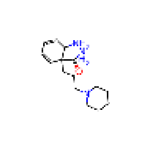 NC(=O)C1(CCCN2CCCCC2)C=CC=CC1N